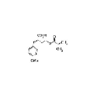 C=C(C)C(=O)OCCC(=Cc1ccc(OC)cc1)C(=O)O